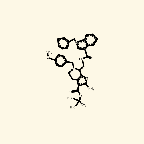 COc1ccc(CN2CCc3c(sc(N)c3C(=O)OC(C)(C)C)C2CNC(=O)c2cn(Cc3ccccc3)c3ccccc23)cc1